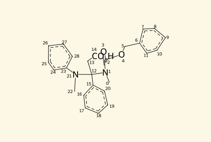 CN(C(=O)OCc1ccccc1)C(CC(=O)O)(c1ccccc1)N(C)c1ccccc1